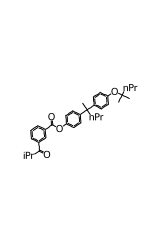 CCCC(C)(C)Oc1ccc(C(C)(CCC)c2ccc(OC(=O)c3cccc(C(=O)C(C)C)c3)cc2)cc1